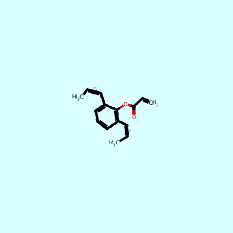 C=CC(=O)Oc1c(/C=C\C)cccc1/C=C\C